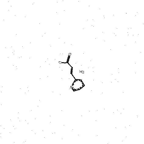 Cl.O=C(Cl)C=Cc1ccccn1